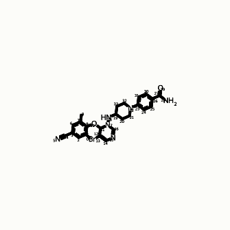 Cc1cc(C#N)cc(C)c1OC1C(Br)=CN=CN1NC1CCN(c2ccc(C(N)=O)cc2)CC1